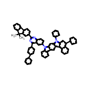 CC1(C)c2ccccc2-c2ccc(-c3nc(-c4ccc(-c5ccccc5)cc4)c4cc(-n5c6ccccc6c6cc7c8c9ccccc9c(-c9ccccc9)cc8n(-c8ccccc8)c7cc65)ccc4n3)cc21